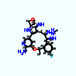 CN/N=C1/C/C(C=N)=C(/NC2COC2)c2cnc(N)c(c2)OC(C)c2cc(F)ccc2C1=N